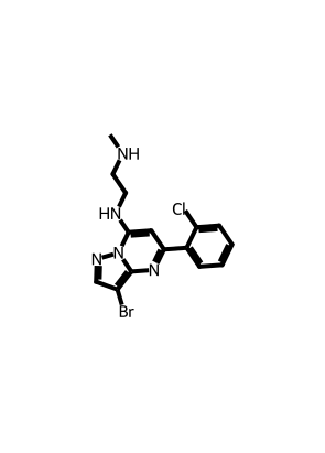 CNCCNc1cc(-c2ccccc2Cl)nc2c(Br)cnn12